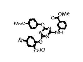 COC(=O)c1cccc(Nc2nc(Oc3ccc(OC)cc3)nc(Oc3ccc(Br)cc3C=O)n2)c1